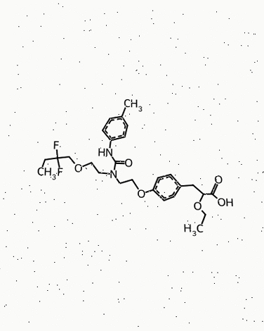 CCOC(Cc1ccc(OCCN(CCOCC(F)(F)CC)C(=O)Nc2ccc(C)cc2)cc1)C(=O)O